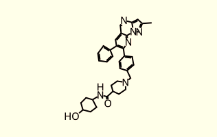 Cc1cc2ncc3cc(-c4ccccc4)c(-c4ccc(CN5CCC(C(=O)NC6CCC(O)CC6)CC5)cc4)nc3n2n1